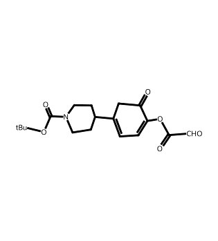 CC(C)(C)OC(=O)N1CCC(C2=CC=C(OC(=O)C=O)C(=O)C2)CC1